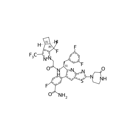 NC(=O)c1cc(-c2cc3sc(N4CCNC(=O)C4)nc3nc2[C@H](Cc2cc(F)cc(F)c2)NC(=O)Cn2nc(C(F)(F)F)c3c2C(F)(F)[C@@H]2CC[C@H]32)ccc1F